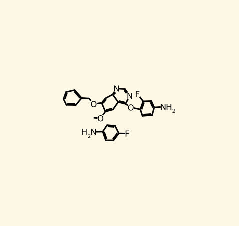 COc1cc2c(Oc3ccc(N)cc3F)ncnc2cc1OCc1ccccc1.Nc1ccc(F)cc1